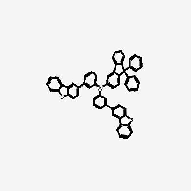 c1ccc(C2(c3ccccc3)c3ccccc3-c3cc(N(c4cccc(-c5ccc6sc7ccccc7c6c5)c4)c4cccc(-c5ccc6sc7ccccc7c6c5)c4)ccc32)cc1